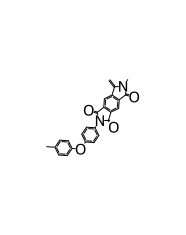 C=C1c2cc3c(cc2C(=O)N1C)C(=O)N(c1ccc(Oc2ccc(C)cc2)cc1)C3=O